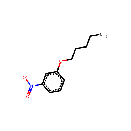 [CH2]CCCCOc1cccc([N+](=O)[O-])c1